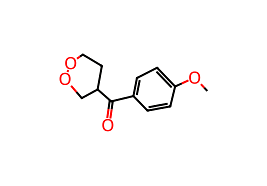 COc1ccc(C(=O)C2CCOOC2)cc1